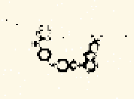 COC(=O)N[C@H]1CC[C@H](CN2CCC3(CC2)CN(c2ncnc4sc(CC(F)(F)F)cc24)C3)CC1